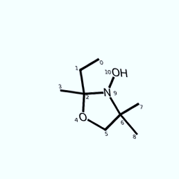 CCC1(C)OCC(C)(C)N1O